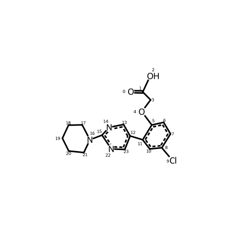 O=C(O)COc1ccc(Cl)cc1-c1cnc(N2CCCCC2)nc1